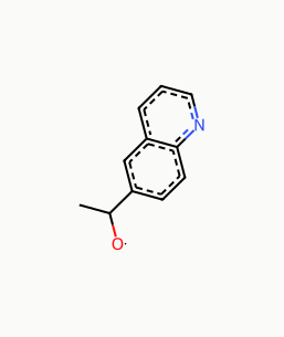 CC([O])c1ccc2ncccc2c1